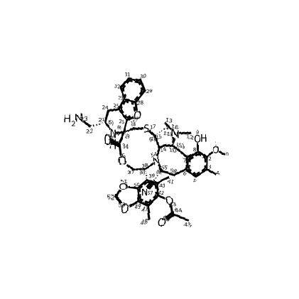 COc1c(C)cc2c(c1O)[C@H](N(C)C)C1[C@@H](C)SC[C@]3(N[C@H](CN)Cc4c3oc3ccccc43)C(=O)OC[C@@H](c3c(C)c(OC(C)=O)c(C)c4c3OCO4)N1[C@@H](C#N)C2